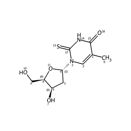 Cc1cn([C@@H]2C[C@@H](O)[C@@H](CO)O2)c(=S)[nH]c1=O